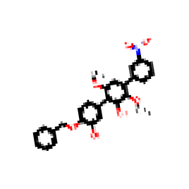 COc1cc(-c2cccc([N+](=O)[O-])c2)c(OC)c(O)c1-c1ccc(OCc2ccccc2)c(O)c1